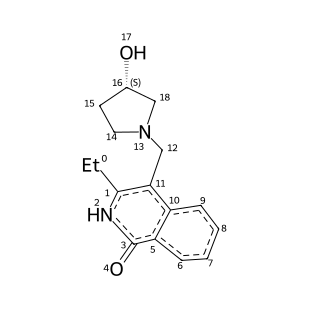 CCc1[nH]c(=O)c2ccccc2c1CN1CC[C@H](O)C1